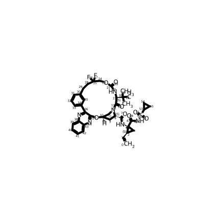 C=C[C@@H]1C[C@]1(NC(=O)[C@@H]1C[C@@H]2CN1C(=O)[C@H](C(C)(C)C)NC(=O)OCC(F)(F)CCc1cccc(c1)-c1nc3ccccc3nc1O2)C(=O)NS(=O)(=O)C1CC1